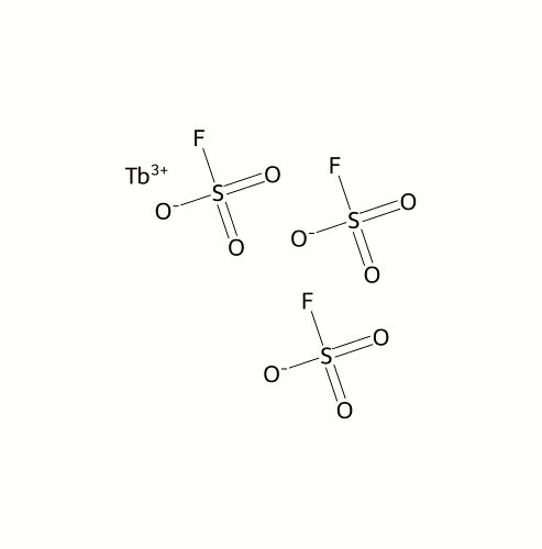 O=S(=O)([O-])F.O=S(=O)([O-])F.O=S(=O)([O-])F.[Tb+3]